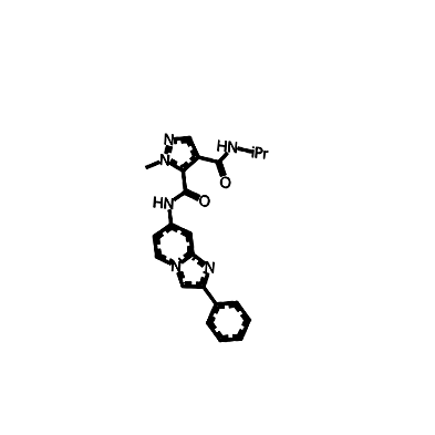 CC(C)NC(=O)c1cnn(C)c1C(=O)Nc1ccn2cc(-c3ccccc3)nc2c1